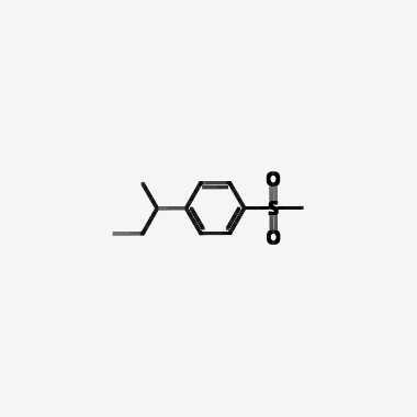 CCC(C)c1ccc(S(C)(=O)=O)cc1